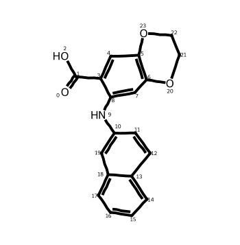 O=C(O)c1cc2c(cc1Nc1ccc3ccccc3c1)OCCO2